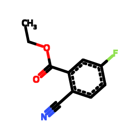 CCOC(=O)c1cc(F)ccc1C#N